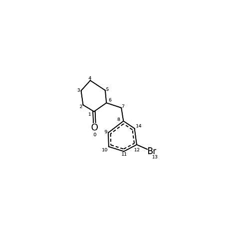 O=C1CCCCC1Cc1cccc(Br)c1